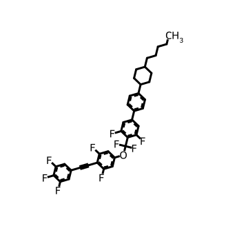 CCCCCC1CCC(c2ccc(-c3cc(F)c(C(F)(F)Oc4cc(F)c(C#Cc5cc(F)c(F)c(F)c5)c(F)c4)c(F)c3)cc2)CC1